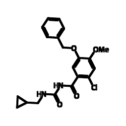 COc1cc(Cl)c(C(=O)NC(=O)NCC2CC2)cc1OCc1ccccc1